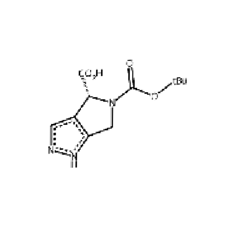 CC(C)(C)OC(=O)N1Cc2[nH]ncc2[C@@H]1C(=O)O